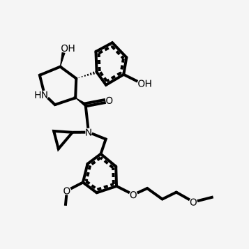 COCCCOc1cc(CN(C(=O)[C@H]2CNC[C@@H](O)[C@@H]2c2cccc(O)c2)C2CC2)cc(OC)c1